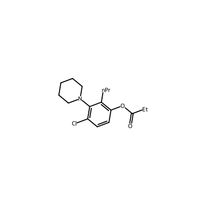 CCCc1c(OC(=O)CC)ccc(Cl)c1N1CCCCC1